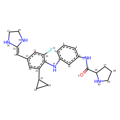 O=C(Nc1cccc(Nc2c(F)cc(C=C3NCCN3)cc2C2CC2)c1)C1CCCN1